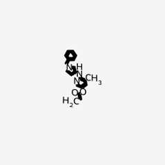 C=CC(=O)Oc1cnc(N[C@@H]2CCN(Cc3ccccc3)C2)c(C)c1